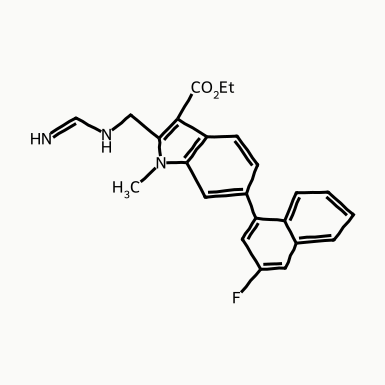 CCOC(=O)c1c(CNC=N)n(C)c2cc(-c3cc(F)cc4ccccc34)ccc12